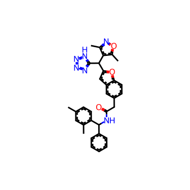 Cc1ccc(C(NC(=O)Cc2ccc3oc(C(c4nnn[nH]4)c4c(C)noc4C)cc3c2)c2ccccc2)c(C)c1